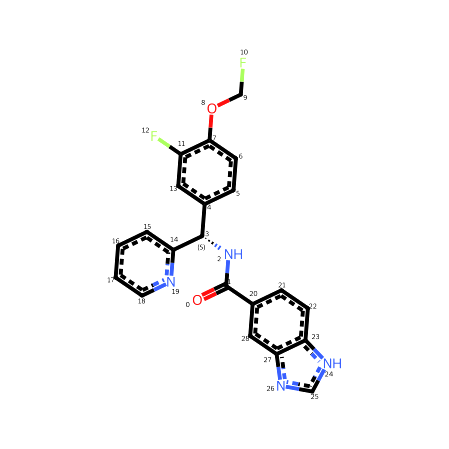 O=C(N[C@@H](c1ccc(OCF)c(F)c1)c1ccccn1)c1ccc2[nH]cnc2c1